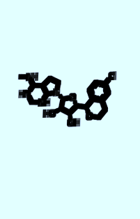 CNC1NCNC2C1CCN2[C@@H]1O[C@H]([C@@H]2OCCc3cc(Cl)ccc32)[C@@H](O)[C@H]1O